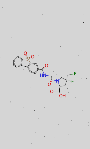 O=C(NCC(=O)N1C[C@@](F)(CF)C[C@H]1C(=O)O)c1ccc2c(c1)S(=O)(=O)c1ccccc1-2